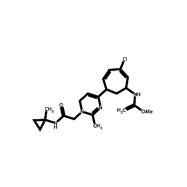 C=C(NC1C=C(Cl)C=CC(C2=CCN(CC(=O)NC3(C)CC3)C(C)=N2)C1)OC